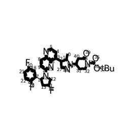 CC1C(c2ccnc3ccc(N4C[C@@H](F)C[C@@H]4c4cc(F)ccc4F)nc23)C=NN1C1CCN(C(=O)OC(C)(C)C)C(=O)C1